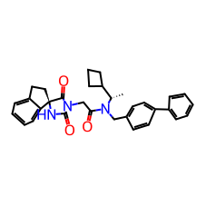 C[C@@H](C1CCC1)N(Cc1ccc(-c2ccccc2)cc1)C(=O)CN1C(=O)N[C@@]2(CCc3ccccc32)C1=O